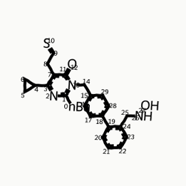 CCCCc1nc(C2CC2)c(CC=S)c(=O)n1Cc1ccc(-c2ccccc2CNO)cc1